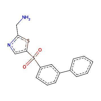 NCc1ncc(S(=O)(=O)c2cccc(-c3ccccc3)c2)s1